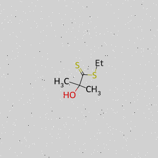 CCSC(=S)C(C)(C)O